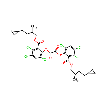 CC(CCC1CC1)COC(=O)c1c(Cl)c(Cl)cc(Cl)c1OC(=O)C(=O)Oc1c(Cl)cc(Cl)c(Cl)c1C(=O)OCC(C)CCC1CC1